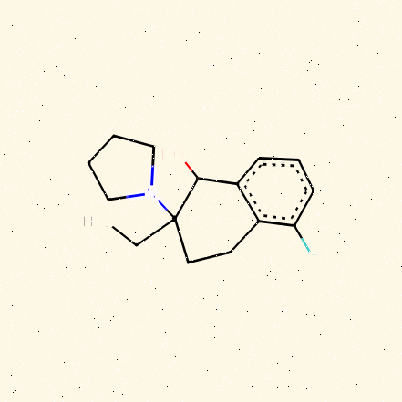 CCC1(N2CCCC2)CCc2c(F)cccc2C1O